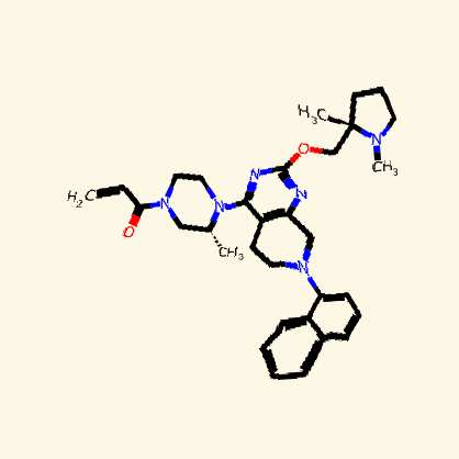 C=CC(=O)N1CCN(c2nc(OC[C@]3(C)CCCN3C)nc3c2CCN(c2cccc4ccccc24)C3)[C@H](C)C1